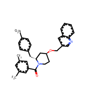 O=C(c1cc(C(F)(F)F)cc(C(F)(F)F)c1)N1CC[C@H](OCc2cnc3ccccc3c2)C[C@H]1Cc1ccc([N+](=O)[O-])cc1